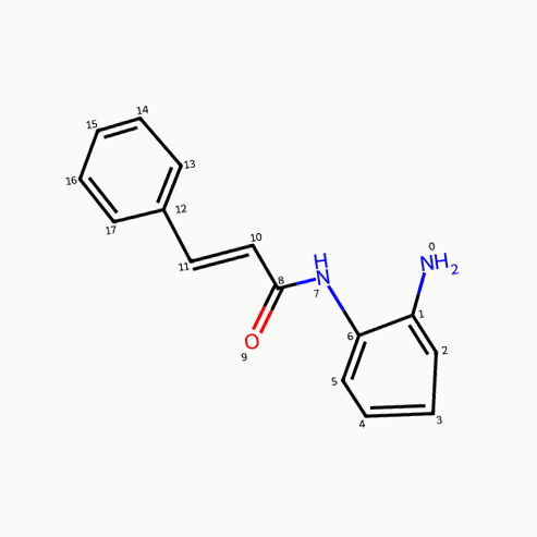 Nc1ccccc1NC(=O)C=Cc1ccccc1